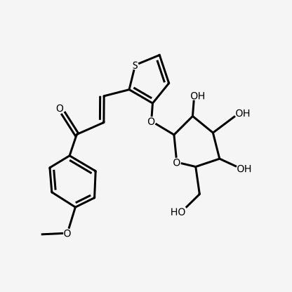 COc1ccc(C(=O)C=Cc2sccc2OC2OC(CO)C(O)C(O)C2O)cc1